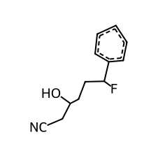 N#CCC(O)CCC(F)c1ccccc1